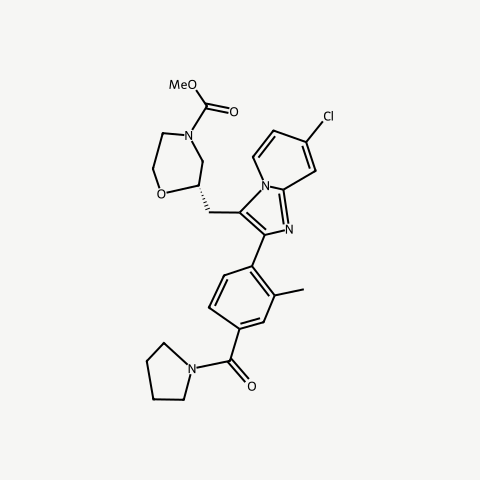 COC(=O)N1CCO[C@@H](Cc2c(-c3ccc(C(=O)N4CCCC4)cc3C)nc3cc(Cl)ccn23)C1